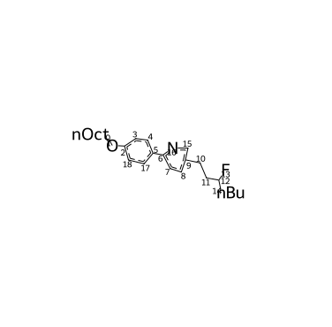 CCCCCCCCOc1ccc(-c2ccc(CCC(F)CCCC)cn2)cc1